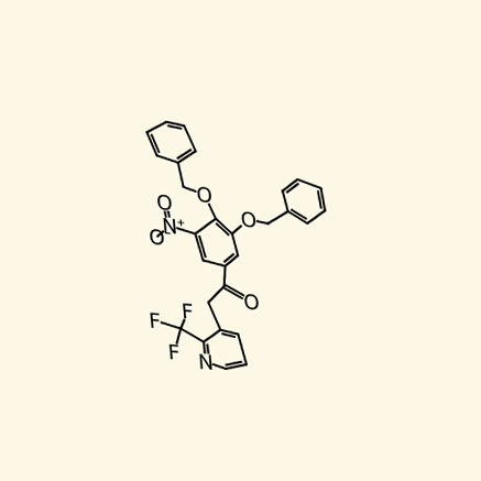 O=C(Cc1cccnc1C(F)(F)F)c1cc(OCc2ccccc2)c(OCc2ccccc2)c([N+](=O)[O-])c1